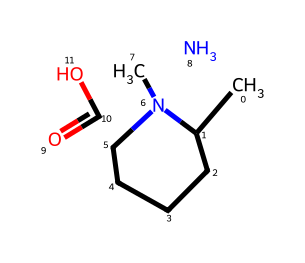 CC1CCCCN1C.N.O=CO